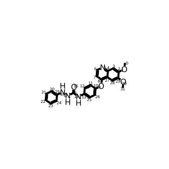 COc1cc2nccc(Oc3ccc(NC(=O)NNc4ccccc4)cc3)c2cc1OC